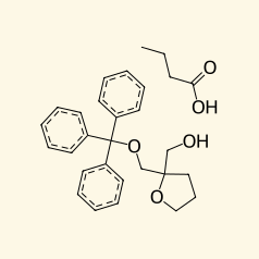 CCCC(=O)O.OCC1(COC(c2ccccc2)(c2ccccc2)c2ccccc2)CCCO1